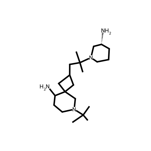 CC(C)(C)N1CCC(N)C2(CC(CC(C)(C)N3CCC[C@@H](N)C3)C2)C1